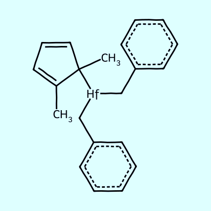 CC1=CC=C[C]1(C)[Hf]([CH2]c1ccccc1)[CH2]c1ccccc1